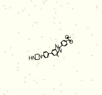 Cc1cc(-c2ccc(N3CCNCC3)cc2)cc2c1nc(-c1ccc(S(C)(=O)=O)cc1)n2C